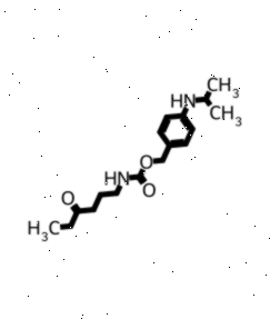 CCC(=O)CCCNC(=O)OCc1ccc(NC(C)C)cc1